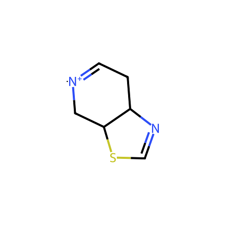 C1=NC2CC=[N+]CC2S1